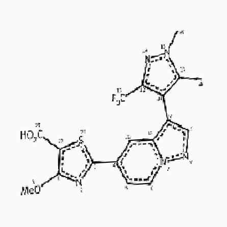 COc1nc(-c2ccn3ncc(-c4c(C(F)(F)F)nn(C)c4C)c3c2)sc1C(=O)O